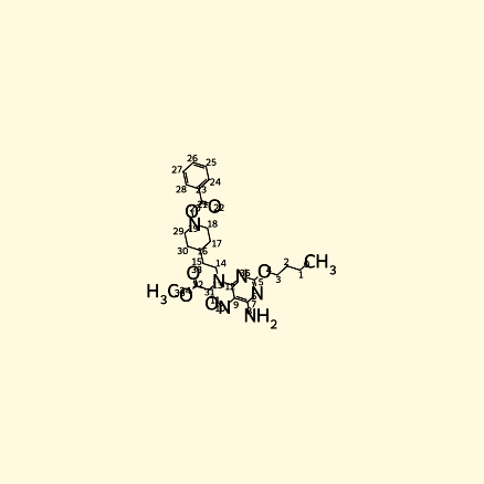 CCCCOc1nc(N)c(N=O)c(N(CCC2CCN(OC(=O)c3ccccc3)CC2)CC(=O)OC)n1